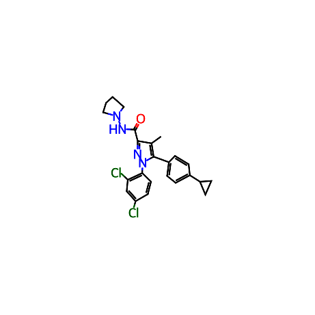 Cc1c(C(=O)NN2CCCC2)nn(-c2ccc(Cl)cc2Cl)c1-c1ccc(C2CC2)cc1